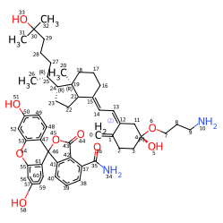 C=C1CC[C@@](O)(OCCCN)C/C1=C/C=C1CCC[C@@]2(C)C1CC[C@@H]2[C@H](C)CCCC(C)(C)O.NC(=O)c1cccc2c1C(=O)OC21c2ccc(O)cc2Oc2cc(O)ccc21